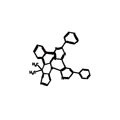 CC1(C)c2ccccc2N(c2ncc(-c3ccccc3)cc2-c2nc(-c3ccccc3)nc(-c3ccccc3)n2)c2ccccc21